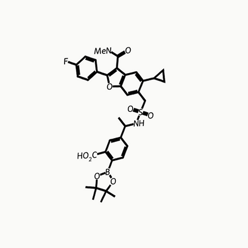 CNC(=O)c1c(-c2ccc(F)cc2)oc2cc(CS(=O)(=O)NC(C)c3ccc(B4OC(C)(C)C(C)(C)O4)c(C(=O)O)c3)c(C3CC3)cc12